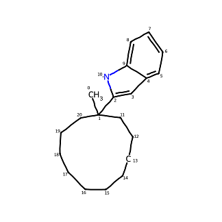 CC1(C2=Cc3ccccc3[N]2)CCCCCCCCCC1